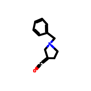 O=C=C1CCN(Cc2ccccc2)C1